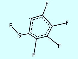 FSc1[c]c(F)c(F)c(F)c1F